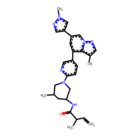 C=CC(C)C(=O)NC1CC(C)CN(c2ccc(-c3cc(-c4cnn(C)c4)cn4ncc(C#N)c34)cn2)C1